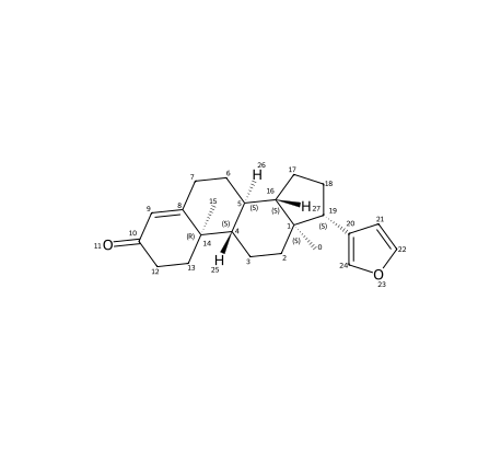 C[C@]12CC[C@H]3[C@@H](CCC4=CC(=O)CC[C@@]43C)[C@@H]1CC[C@@H]2c1ccoc1